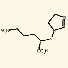 NCCC[C@@H](NN1C=NCC1)C(=O)O